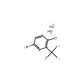 [B+2]c1ccc(Cl)c(C(F)(F)F)c1.[OH-].[OH-]